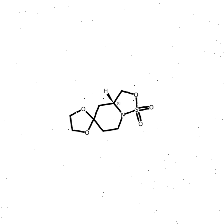 O=S1(=O)OC[C@H]2CC3(CCN21)OCCO3